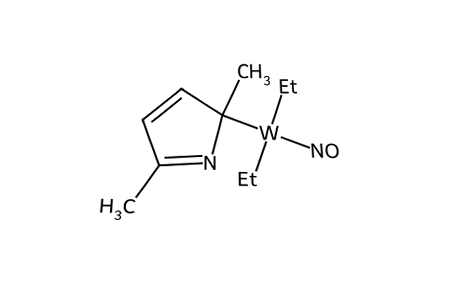 C[CH2][W]([CH2]C)([N]=O)[C]1(C)C=CC(C)=N1